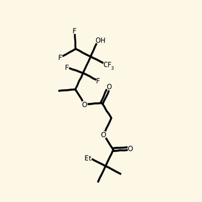 CCC(C)(C)C(=O)OCC(=O)OC(C)C(F)(F)C(O)(C(F)F)C(F)(F)F